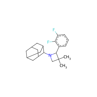 CC1(C)CN(C2C3CC4CC(C3)CC2C4)C1c1cccc(F)c1F